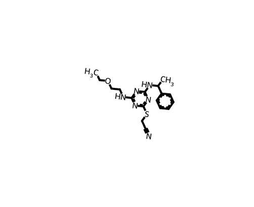 CCOCCNc1nc(NC(C)c2ccccc2)nc(SCC#N)n1